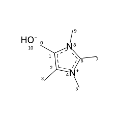 Cc1c(C)[n+](C)c(C)n1C.[OH-]